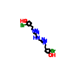 Oc1ccc(CCn2cc(CNCc3cn(CCc4ccc(O)c(Br)c4)nn3)nn2)cc1Br